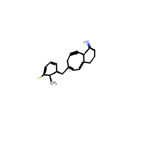 CC1C(F)=CC=CC1C/C1=C/C=C2/CCCC(=N)C2C#CC1